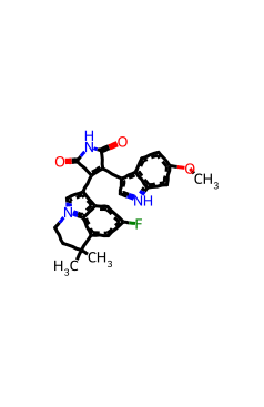 COc1ccc2c(C3=C(c4cn5c6c(cc(F)cc46)C(C)(C)CC5)C(=O)NC3=O)c[nH]c2c1